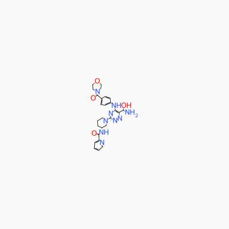 NC(O)c1nnc(N2CCC[C@@H](NC(=O)c3ccccn3)C2)nc1Nc1ccc(C(=O)N2CCOCC2)cc1